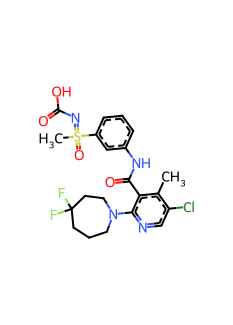 Cc1c(Cl)cnc(N2CCCC(F)(F)CC2)c1C(=O)Nc1cccc(S(C)(=O)=NC(=O)O)c1